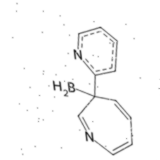 BC1(c2ccccn2)C=CC=CN=C1